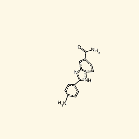 NC(=O)c1ccc2[nH]c(-c3ccc(N)cc3)nc2c1